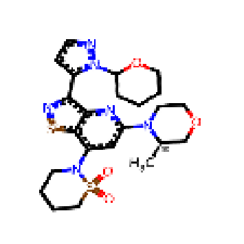 C[C@@H]1COCCN1c1cc(N2CCCCS2(=O)=O)c2snc(-c3ccnn3C3CCCCO3)c2n1